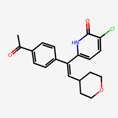 CC(=O)c1ccc(C(=CC2CCOCC2)c2ccc(Cl)c(=O)[nH]2)cc1